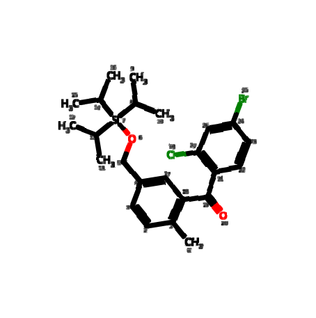 Cc1ccc(CO[Si](C(C)C)(C(C)C)C(C)C)cc1C(=O)c1ccc(Br)cc1Cl